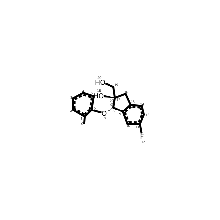 Cc1ccccc1O[C@H]1c2cc(F)ccc2C[C@@]1(O)CO